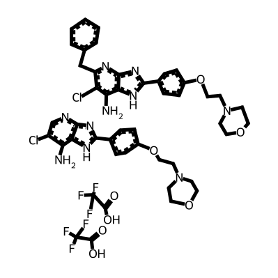 Nc1c(Cl)c(Cc2ccccc2)nc2nc(-c3ccc(OCCN4CCOCC4)cc3)[nH]c12.Nc1c(Cl)cnc2nc(-c3ccc(OCCN4CCOCC4)cc3)[nH]c12.O=C(O)C(F)(F)F.O=C(O)C(F)(F)F